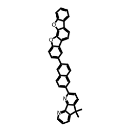 CC1(C)c2cccnc2-c2nc(-c3ccc4cc(-c5ccc6oc7c(ccc8c9ccccc9oc87)c6c5)ccc4c3)ccc21